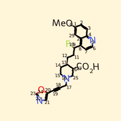 COc1ccc2nccc([C@H](F)CC[C@@H]3CCN(CC#Cc4cnco4)C[C@@H]3C(=O)O)c2c1